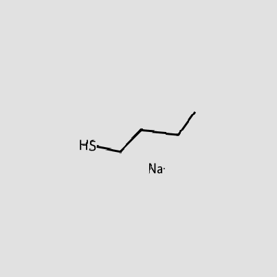 CCCCS.[Na]